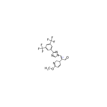 COC1=NCC(/C(C=O)=C\n2cnc(-c3cc(C(F)(F)F)cc(C(F)(F)F)c3)n2)C=C1